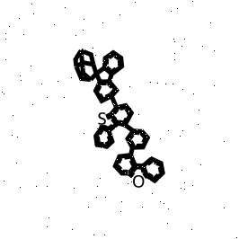 c1cc(-c2cccc3oc4ccccc4c23)cc(-c2ccc(-c3ccc4c(c3)-c3ccccc3C43C4CC5CC(C4)CC3C5)c3sc4ccccc4c23)c1